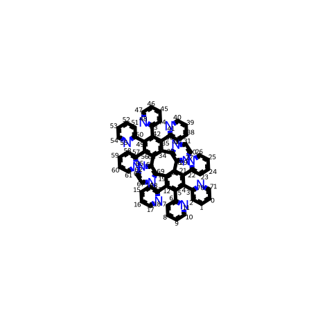 c1ccc(-c2c(-c3ccccn3)c(-c3ccccn3)c3c(c2-c2ccccn2)-c2nccnc2-c2c(-c4ccccn4)c(-c4ccccn4)c(-c4ccccn4)c(-c4ccccn4)c2-c2nccnc2-3)nc1